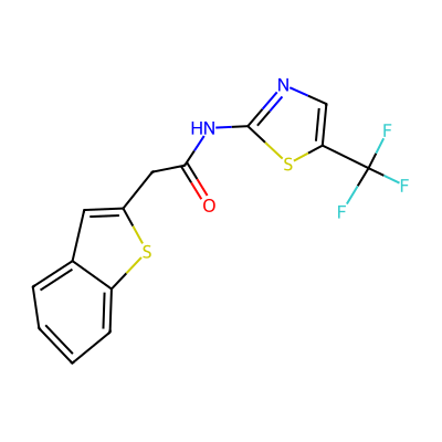 O=C(Cc1cc2ccccc2s1)Nc1ncc(C(F)(F)F)s1